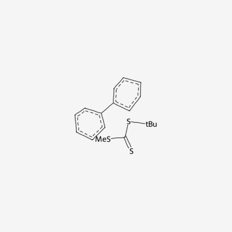 CSC(=S)SC(C)(C)C.c1ccc(-c2ccccc2)cc1